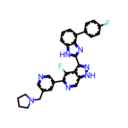 Fc1ccc(-c2cccc3[nH]c(-c4n[nH]c5cnc(-c6cncc(CN7CCCC7)c6)c(F)c45)nc23)cc1